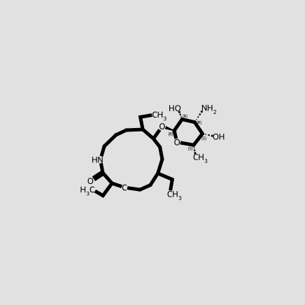 CCC1CCCC(CC)C(=O)NCCCC(CC)C(O[C@@H]2O[C@@H](C)[C@@H](O)[C@@H](N)[C@H]2O)CC1